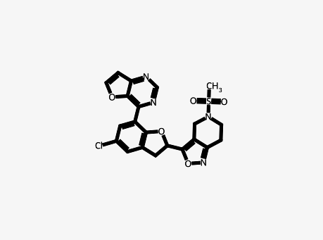 CS(=O)(=O)N1CCc2noc(C3Cc4cc(Cl)cc(-c5ncnc6ccoc56)c4O3)c2C1